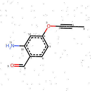 CC#COc1ccc(C=O)c(N)c1